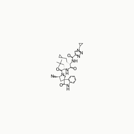 CC(C)(C)C[C@H](NC(=O)[C@H](CCC1CC1)NC(=O)c1cn(C2CC2)nn1)C(=O)N1C[C@]2(C[C@H]1C#N)C(=O)Nc1ccccc12